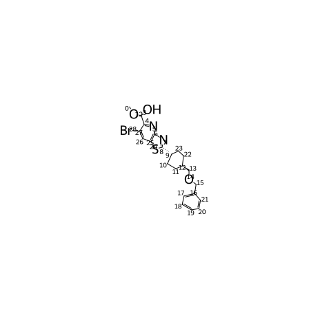 COC(O)c1nc2nc([C@H]3CC[C@H](COCc4ccccc4)CC3)sc2cc1Br